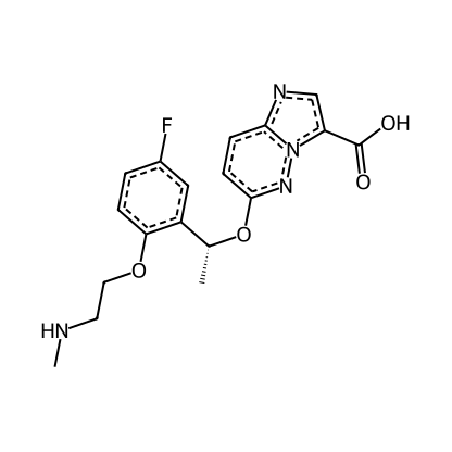 CNCCOc1ccc(F)cc1[C@@H](C)Oc1ccc2ncc(C(=O)O)n2n1